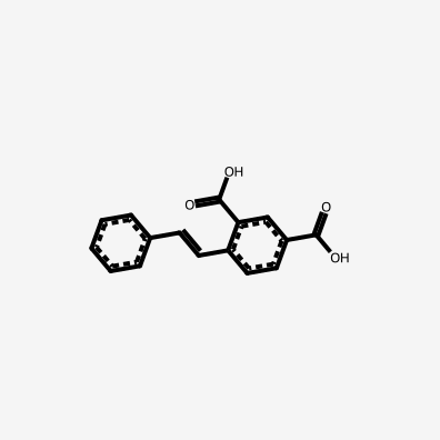 O=C(O)c1ccc(C=Cc2ccccc2)c(C(=O)O)c1